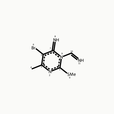 CSc1nc(C)c(Br)c(=N)n1C=N